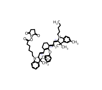 CCCCCN1/C(=C/C=C2\CCCC(/C=C/C3=[N+](CCCCCC(=O)ON4C(=O)CCC4=O)c4ccccc4C3(C)C)=C2Oc2ccccc2)C(C)(C)c2cc(C)ccc21